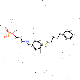 Cc1cc(CNCCCO[PH](=O)O)ccc1SCCCCCc1ccccc1